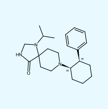 CC(C)N1CNC(=O)C12CCN([C@@H]1CCCC[C@@H]1c1ccccc1)CC2